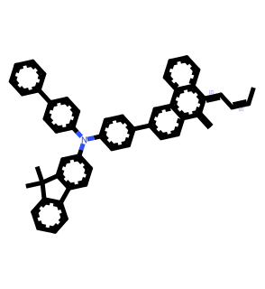 C=c1/c(=C\C=C/C)c2ccccc2c2cc(-c3ccc(N(c4ccc(-c5ccccc5)cc4)c4ccc5c(c4)C(C)(C)c4ccccc4-5)cc3)ccc12